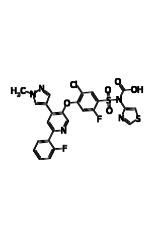 Cn1cc(-c2cc(-c3ccccc3F)ncc2Oc2cc(F)c(S(=O)(=O)N(C(=O)O)c3cscn3)cc2Cl)cn1